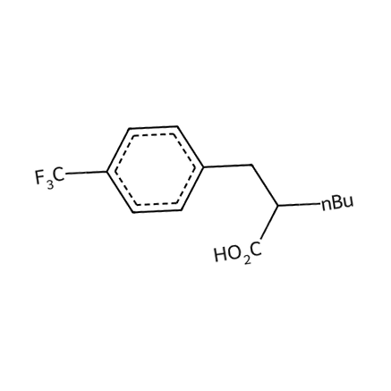 CCCCC(Cc1ccc(C(F)(F)F)cc1)C(=O)O